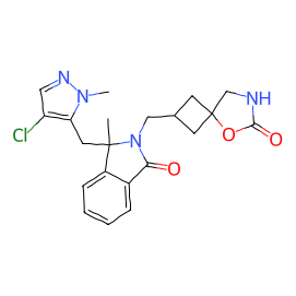 Cn1ncc(Cl)c1CC1(C)c2ccccc2C(=O)N1CC1CC2(CNC(=O)O2)C1